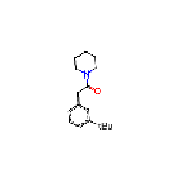 CC(C)(C)c1cccc(CC(=O)N2CCCCC2)c1